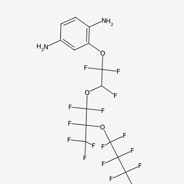 Nc1ccc(N)c(OC(F)(F)C(F)OC(F)(F)C(F)(OC(F)(F)C(F)(F)C(F)(F)F)C(F)(F)F)c1